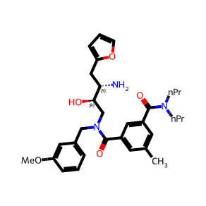 CCCN(CCC)C(=O)c1cc(C)cc(C(=O)N(Cc2cccc(OC)c2)C[C@@H](O)[C@@H](N)Cc2ccco2)c1